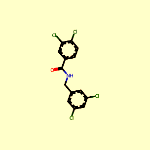 O=C(NCc1cc(Cl)cc(Cl)c1)c1ccc(Cl)c(Cl)c1